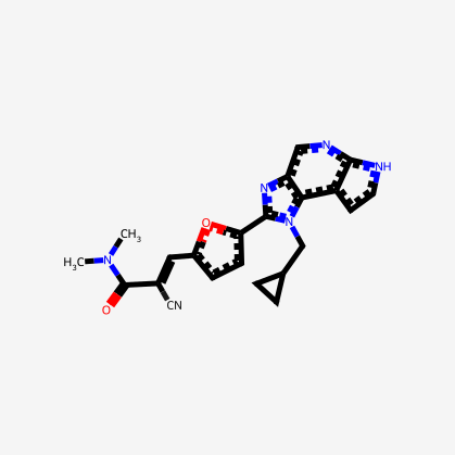 CN(C)C(=O)/C(C#N)=C/c1ccc(-c2nc3cnc4[nH]ccc4c3n2CC2CC2)o1